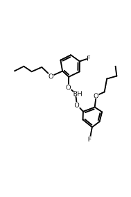 CCCCOc1ccc(F)cc1OBOc1cc(F)ccc1OCCCC